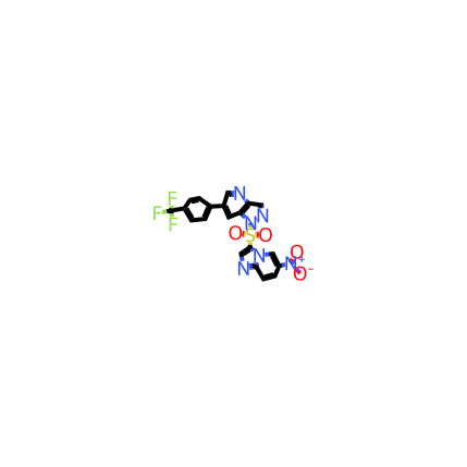 O=[N+]([O-])c1ccc2ncc(S(=O)(=O)n3ncc4ncc(-c5ccc(C(F)(F)F)cc5)cc43)n2c1